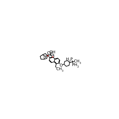 CCc1c(OC2CCC(C(C)(P)P)CC2)ccc2cc(C(C)N3C4CCC3CC(C(=O)O)C4)ccc12